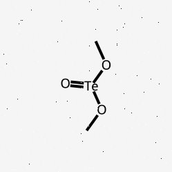 CO[Te](=O)OC